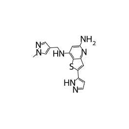 Cn1cc(CNc2cc(N)nc3cc(-c4ccn[nH]4)sc23)cn1